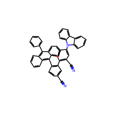 N#Cc1ccc(-c2c3ccccc3c(-c3ccccc3)c3ccccc23)c(-c2ccc(-n3c4ccccc4c4ccccc43)cc2C#N)c1